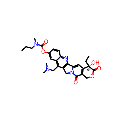 CCCN(C)C(=O)Oc1ccc2nc3c(c(CN(C)C)c2c1)Cn1c-3cc2c(c1=O)COC(=O)[C@]2(O)CC